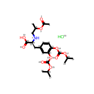 CC(=O)OC(C)CN[C@@H](Cc1ccc(OC(=O)OC(C)C)c(OC(=O)OC(C)C)c1)C(=O)O.Cl